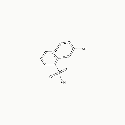 O=S(=O)(O)c1cccc2ccc(S)cc12